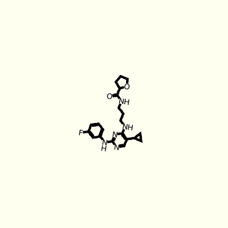 O=C(NCCCNc1nc(Nc2cccc(F)c2)ncc1C1CC1)C1CCCO1